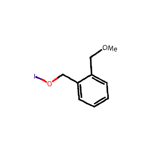 COCc1ccccc1COI